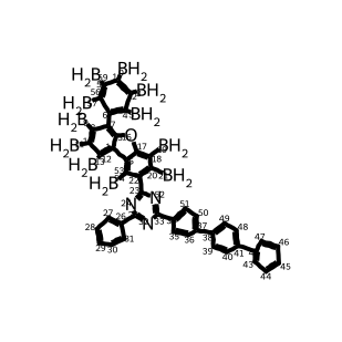 Bc1c(B)c(B)c(-c2c(B)c(B)c(B)c3c2oc2c(B)c(B)c(-c4nc(-c5ccccc5)nc(-c5ccc(-c6ccc(-c7ccccc7)cc6)cc5)n4)c(B)c23)c(B)c1B